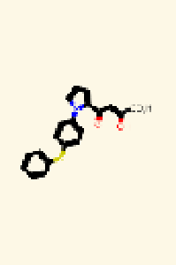 O=C(O)C(O)=CC(=O)c1cccn1-c1ccc(Sc2ccccc2)cc1